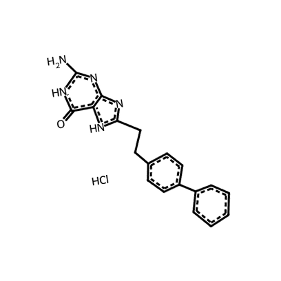 Cl.Nc1nc2nc(CCc3ccc(-c4ccccc4)cc3)[nH]c2c(=O)[nH]1